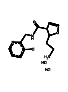 Cl.Cl.NCCC1OC=CN1C(=O)NCc1ncccc1Cl